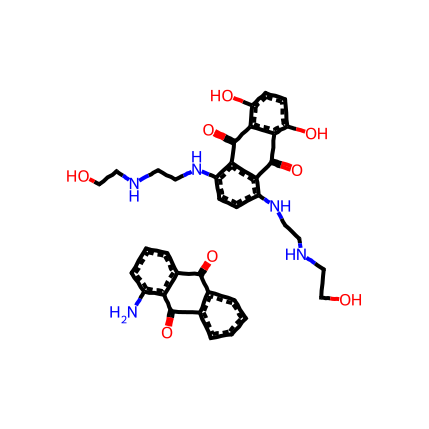 Nc1cccc2c1C(=O)c1ccccc1C2=O.O=C1c2c(O)ccc(O)c2C(=O)c2c(NCCNCCO)ccc(NCCNCCO)c21